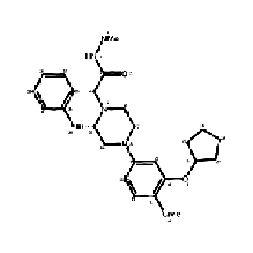 CNNC(=O)CN1CCN(c2ccc(OC)c(OC3CCCC3)c2)C[C@@H]1Cc1ccccc1